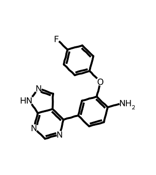 Nc1ccc(-c2ncnc3[nH]ncc23)cc1Oc1ccc(F)cc1